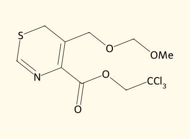 COCOCC1=C(C(=O)OCC(Cl)(Cl)Cl)N=CSC1